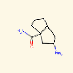 NC(=O)C12CCCC1CC(N)C2